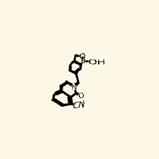 N#Cc1cccc2c1C(=O)N(Cc1ccc3c(c1)B(O)OC3)CC2